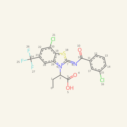 CCC(C(=O)O)n1c(=NC(=O)c2cccc(Cl)c2)sc2c(Cl)cc(C(F)(F)F)cc21